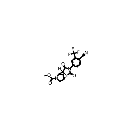 COC(=O)N1CC2CC1[C@@H]1C(=O)N(c3ccc(C#N)c(C(F)(F)F)c3)C(=O)N21